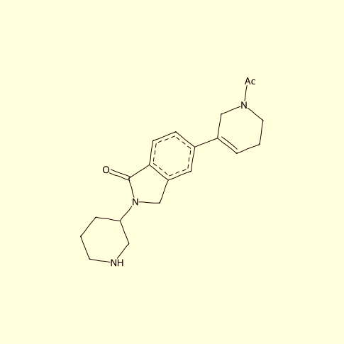 CC(=O)N1CCC=C(c2ccc3c(c2)CN(C2CCCNC2)C3=O)C1